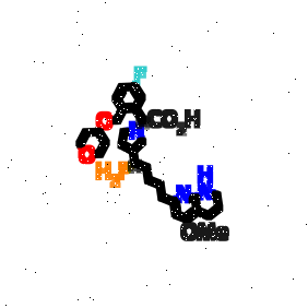 COc1cc(CCCC[C@@H](P)C2CCN([C@@H](C(=O)O)c3cc(F)ccc3COC3CCOCC3)C2)nc2c1CCCN2